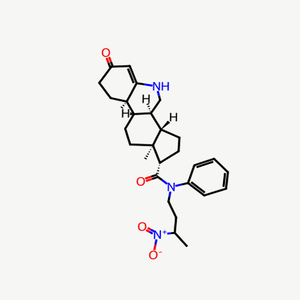 CC(CCN(C(=O)[C@H]1CC[C@H]2[C@@H]3CNC4=CC(=O)CC[C@]4(C)[C@H]3CC[C@]12C)c1ccccc1)[N+](=O)[O-]